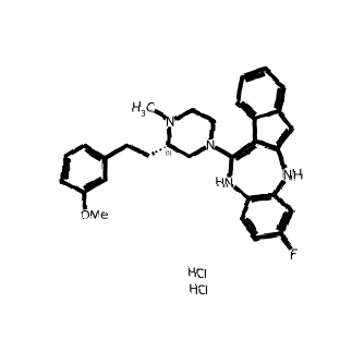 COc1cccc(CC[C@H]2CN(C3=C4C(=Cc5ccccc54)Nc4cc(F)ccc4N3)CCN2C)c1.Cl.Cl